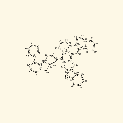 c1ccc(-c2cccc3c2-c2ccc(N(c4ccc5c(c4)oc4ccccc45)c4cccc5c4ccc4c6ccccc6ccc54)cc2C3)cc1